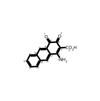 NC1=C(C(=O)O)C(=O)C(=O)c2cc3ccccc3cc21